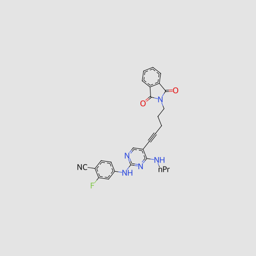 CCCNc1nc(Nc2ccc(C#N)c(F)c2)ncc1C#CCCCN1C(=O)c2ccccc2C1=O